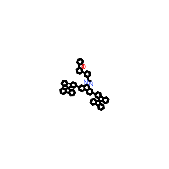 c1cc(-c2cnc3c4cc(-c5ccc6c(c5)C5(c7ccccc7-c7ccccc75)c5ccccc5-6)ccc4c4ccc(-c5ccc6c(c5)C5(c7ccccc7-c7ccccc75)c5ccccc5-6)cc4c3n2)cc(-c2cccc3c2oc2ccccc23)c1